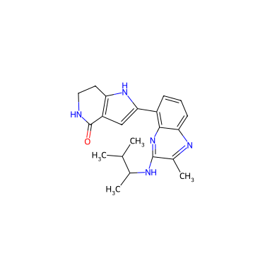 Cc1nc2cccc(-c3cc4c([nH]3)CCNC4=O)c2nc1NC(C)C(C)C